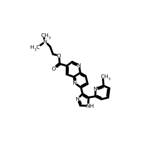 Cc1cccc(-c2[nH]cnc2-c2ccc3ncc(C(=O)OCCN(C)C)cc3n2)n1